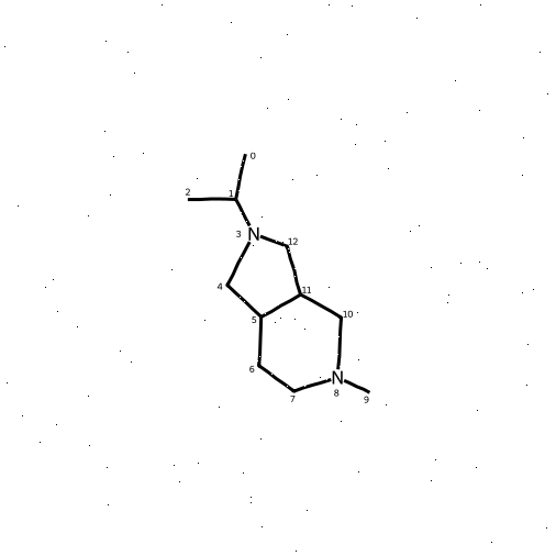 CC(C)N1CC2CCN(C)CC2C1